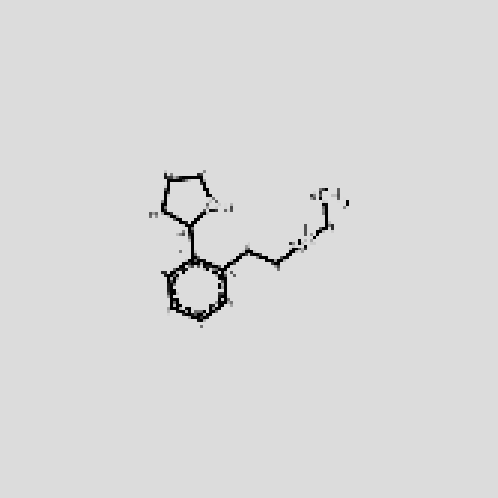 CC[SH2]CCc1ccccc1C1CCCO1